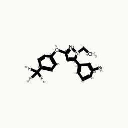 CCn1nc(Oc2ccc(C(F)(F)F)cc2)cc1-c1cccc(Br)c1